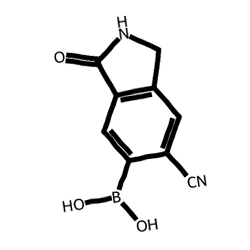 N#Cc1cc2c(cc1B(O)O)C(=O)NC2